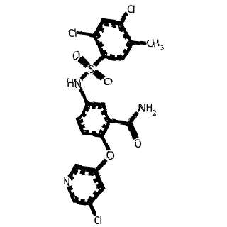 Cc1cc(S(=O)(=O)Nc2ccc(Oc3cncc(Cl)c3)c(C(N)=O)c2)c(Cl)cc1Cl